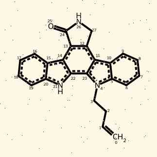 C=CCCn1c2ccccc2c2c3c(c4c5ccccc5[nH]c4c21)C(=O)NC3